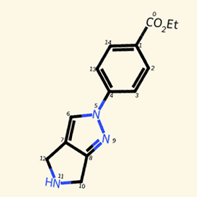 CCOC(=O)c1ccc(-n2cc3c(n2)CNC3)cc1